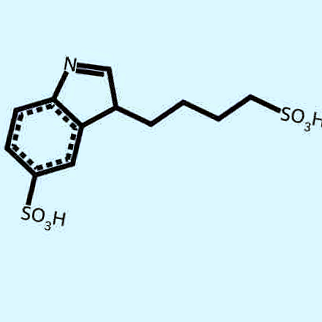 O=S(=O)(O)CCCCC1C=Nc2ccc(S(=O)(=O)O)cc21